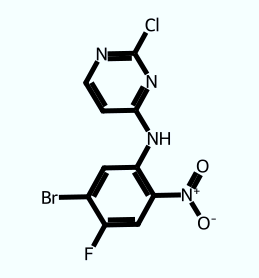 O=[N+]([O-])c1cc(F)c(Br)cc1Nc1ccnc(Cl)n1